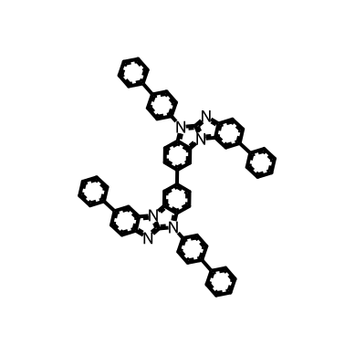 c1ccc(-c2ccc(-n3c4ccc(-c5ccc6c(c5)n5c7cc(-c8ccccc8)ccc7nc5n6-c5ccc(-c6ccccc6)cc5)cc4n4c5cc(-c6ccccc6)ccc5nc34)cc2)cc1